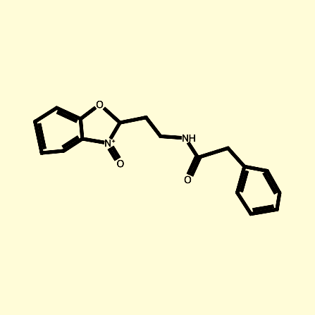 O=C(Cc1ccccc1)NCCC1Oc2ccccc2[N+]1=O